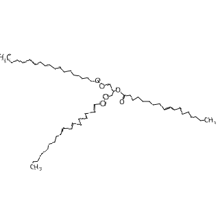 CCCCCCCCC=CCCCCCCCC(=O)OC(COOCCCCCCCCCCCCCCCCCC)COOCCCCCCCCCCCCCCCCCC